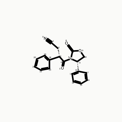 N#CC[C@H](C(=O)N1C(=O)OC[C@@H]1c1ccccc1)c1ccccc1